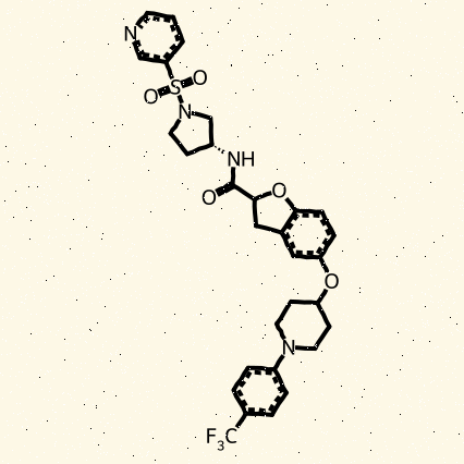 O=C(N[C@@H]1CCN(S(=O)(=O)c2cccnc2)C1)C1Cc2cc(OC3CCN(c4ccc(C(F)(F)F)cc4)CC3)ccc2O1